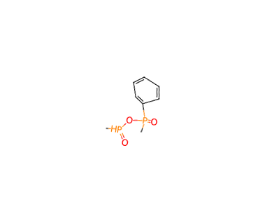 C[PH](=O)OP(C)(=O)c1ccccc1